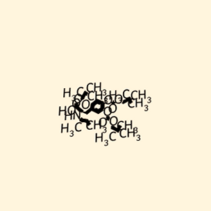 CCC(C)N[C@@](Cc1ccc(OC(=O)OCC(C)(C)C)c(OC(=O)OCC(C)(C)C)c1)(OC(=O)C(C)(C)C)C(=O)O